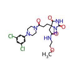 COCCNC(=O)CC1(CCC(=O)N2CCN(c3cc(Cl)cc(Cl)c3)CC2)NC(=O)NC1=O